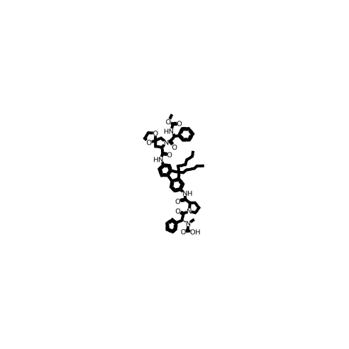 CCCCCC1(CCCCC)c2cc(NC(=O)C3CC4(CN3C(=O)C(NC(=O)OC)c3ccccc3)OCCO4)ccc2-c2ccc(NC(=O)C3CCCN3C(=O)[C@@H](c3ccccc3)N(C)C(=O)O)cc21